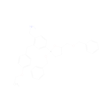 CCOc1ccc(Cc2cc(C3(OCc4ccccc4)CCC(COCc4ccccc4)O3)ccc2CN)cc1